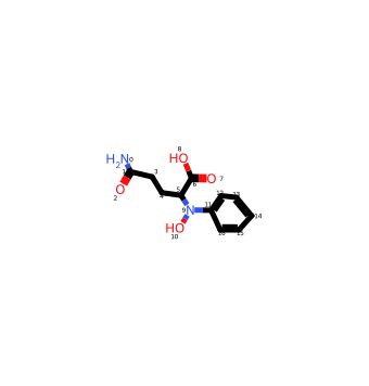 NC(=O)CCC(C(=O)O)N(O)c1ccccc1